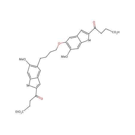 CCOC(=O)CCC(=O)c1cc2cc(CCCCOc3cc4cc(C(=O)CCC(=O)O)[se]c4cc3OC)c(OC)cc2[se]1